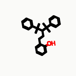 CC(C)(c1ccccc1)C(CCc1ccccc1O)C(C)(C)c1ccccc1